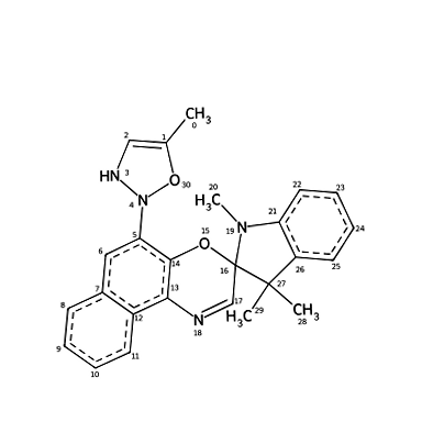 CC1=CNN(c2cc3ccccc3c3c2OC2(C=N3)N(C)c3ccccc3C2(C)C)O1